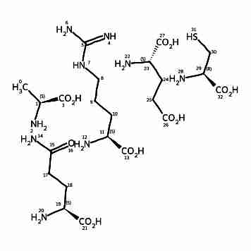 C[C@H](N)C(=O)O.N=C(N)NCCC[C@H](N)C(=O)O.NC(=O)CC[C@H](N)C(=O)O.N[C@@H](CCC(=O)O)C(=O)O.N[C@@H](CS)C(=O)O